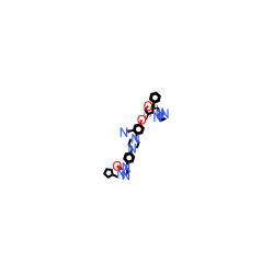 N#Cc1cc(OC[C@H]2CO[C@](Cn3nccn3)(c3ccccc3)C2)ccc1N1CCN(c2ccc(-n3cnn(CC4CCCC4)c3=O)cc2)CC1